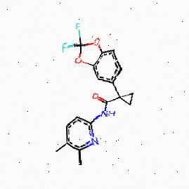 Cc1ccc(NC(=O)C2(c3ccc4c(c3)OC(F)(F)O4)CC2)nc1C